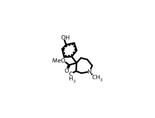 COC(=O)C1(c2ccc(O)cc2)CCCN(C)CC1C